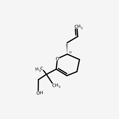 C=CC[C@@H]1CCC=C(C(C)(C)CO)O1